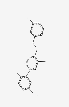 Cc1ccc(F)c(-c2cc(C)c(OCc3cccc(O)c3)nn2)c1